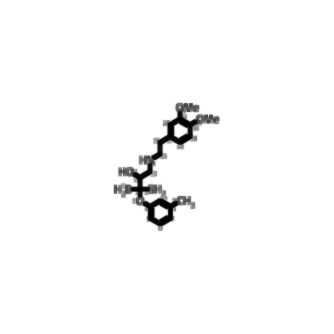 BC(B)(Oc1cccc(C)c1)C(O)CNCCc1ccc(OC)c(OC)c1